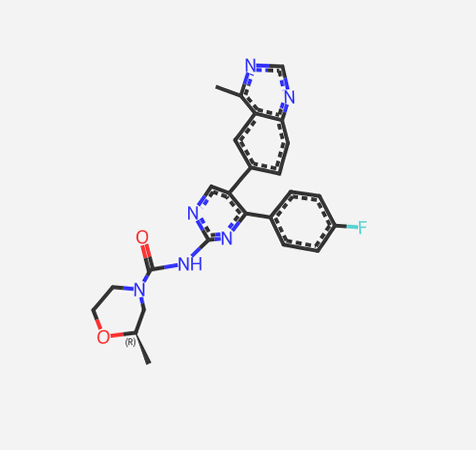 Cc1ncnc2ccc(-c3cnc(NC(=O)N4CCO[C@H](C)C4)nc3-c3ccc(F)cc3)cc12